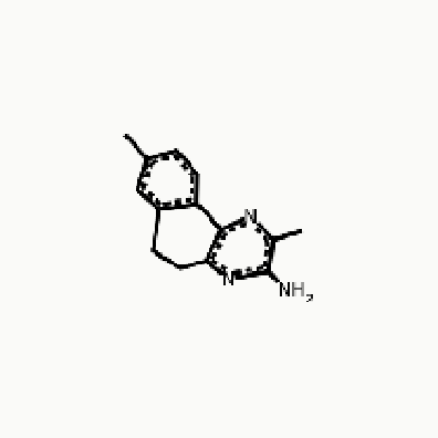 Cc1ccc2c(c1)CCc1nc(N)c(C)nc1-2